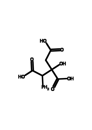 O=C(O)CC(O)(C(=O)O)C(P)C(=O)O